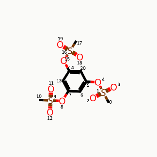 CS(=O)(=O)Oc1cc(OS(C)(=O)=O)cc(OS(C)(=O)=O)c1